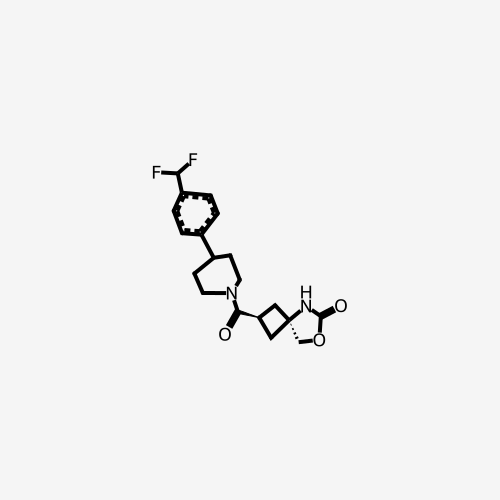 O=C1N[C@]2(CO1)C[C@H](C(=O)N1CCC(c3ccc(C(F)F)cc3)CC1)C2